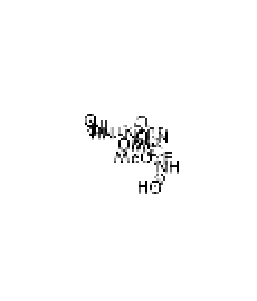 COc1cc(-c2nccc(-c3cccc(-c4ccc(CNC[C@H]5CCC(=O)N5)c(OC)n4)c3Cl)c2Cl)cc(F)c1CN[C@H]1C[C@@](C)(O)C1